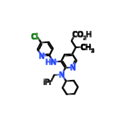 CC(C)CN(c1ncc(C(C)CC(=O)O)cc1Nc1ccc(Cl)cn1)C1CCCCC1